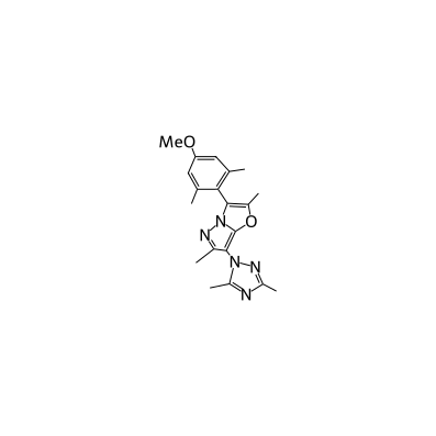 COc1cc(C)c(-c2c(C)oc3c(-n4nc(C)nc4C)c(C)nn23)c(C)c1